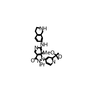 COC1(c2cc(-n3c4nc(Nc5ccc6c(c5)CNCC6)ncc4c(=O)n3C(C)C)ccn2)COC1